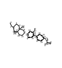 CCC1CC[C@@H]2C[C@H](c3ccc(-c4ccc(OC(F)F)cc4)c(F)c3)CC[C@@H]2C1